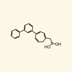 OB(O)CC1=CC=C(c2cccc(-c3ccccc3)c2)C=CC1